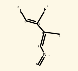 C=N/C=C(C)/C(F)=C/I